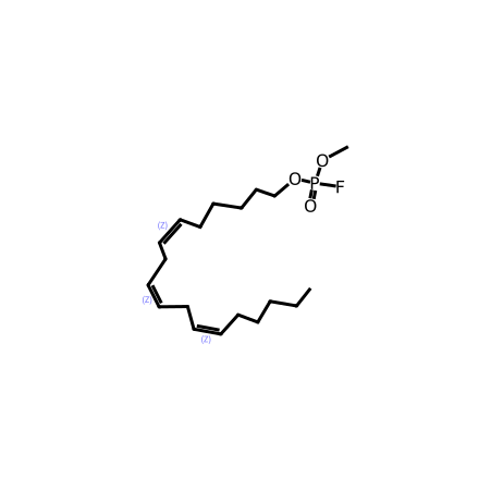 CCCCC/C=C\C/C=C\C/C=C\CCCCCOP(=O)(F)OC